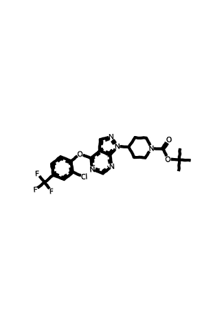 CC(C)(C)OC(=O)N1CCC(n2ncc3c(Oc4ccc(C(F)(F)F)cc4Cl)ncnc32)CC1